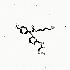 CCOc1ccc(N(C(=O)NCCCCO)c2ccnc(N[C@@H](C)COC)n2)cc1